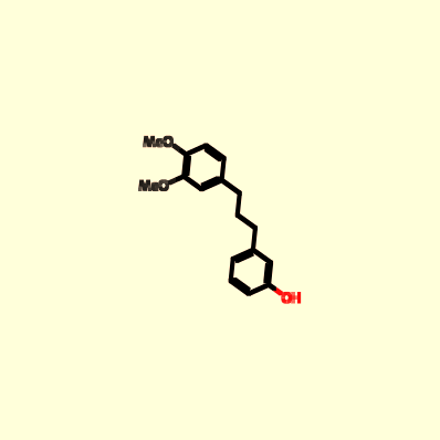 COc1ccc(CCCc2cccc(O)c2)cc1OC